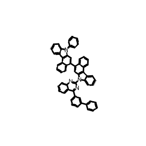 c1ccc(-c2cccc(-c3nc(-n4c5ccccc5c5c6ccccc6c(-c6cc7c(c8ccccc68)c6ccccc6n7-c6ccccc6)cc54)nc4ccccc34)c2)cc1